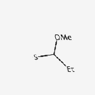 CCC([S])OC